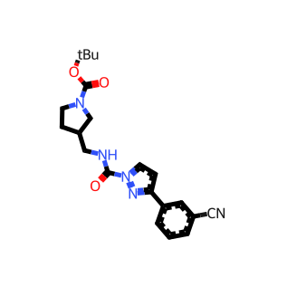 CC(C)(C)OC(=O)N1CCC(CNC(=O)n2ccc(-c3cccc(C#N)c3)n2)C1